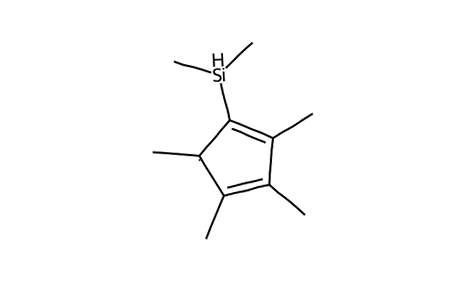 C[C]1C(C)=C(C)C(C)=C1[SiH](C)C